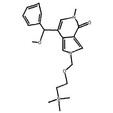 COC(c1ccccc1)c1cn(C)c(=O)c2cn(COCC[Si](C)(C)C)cc12